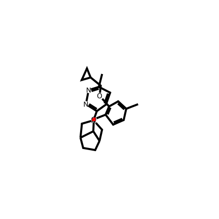 Cc1ccc(OC2C3CCC2CN(c2ccc(C)nn2)C3)c(OCC2CC2)c1